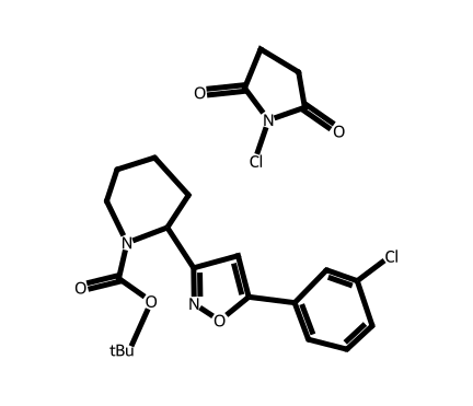 CC(C)(C)OC(=O)N1CCCCC1c1cc(-c2cccc(Cl)c2)on1.O=C1CCC(=O)N1Cl